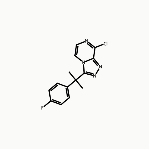 CC(C)(c1ccc(F)cc1)c1nnc2c(Cl)nccn12